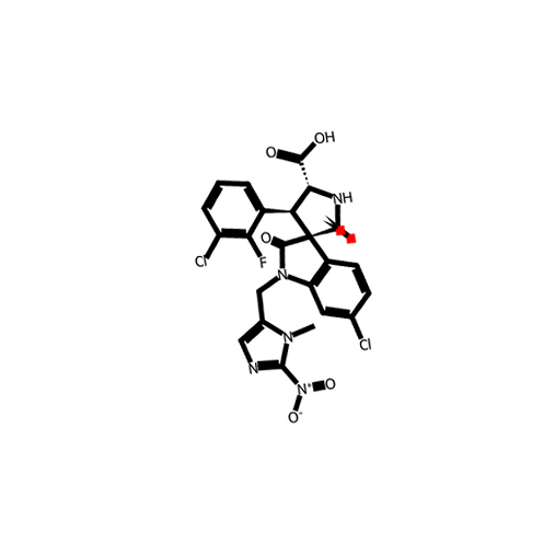 Cn1c(CN2C(=O)[C@@]3(c4ccc(Cl)cc42)[C@@H](c2cccc(Cl)c2F)[C@H](C(=O)O)NC32CCCCC2)cnc1[N+](=O)[O-]